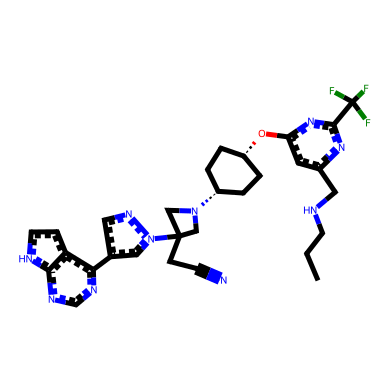 CCCNCc1cc(O[C@H]2CC[C@@H](N3CC(CC#N)(n4cc(-c5ncnc6[nH]ccc56)cn4)C3)CC2)nc(C(F)(F)F)n1